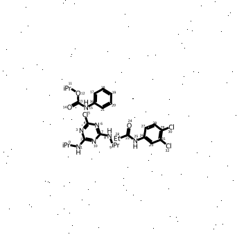 CC(C)Nc1nc(Cl)nc(NC(C)C)n1.CC(C)OC(=O)Nc1ccccc1.CCC(=O)Nc1ccc(Cl)c(Cl)c1